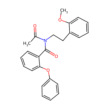 COc1ccccc1CCN(C(C)=O)C(=O)c1ccccc1Oc1ccccc1